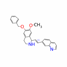 COc1cc2c(cc1OCc1ccccc1)CCNC2/C=C/c1ccc2cccnc2c1